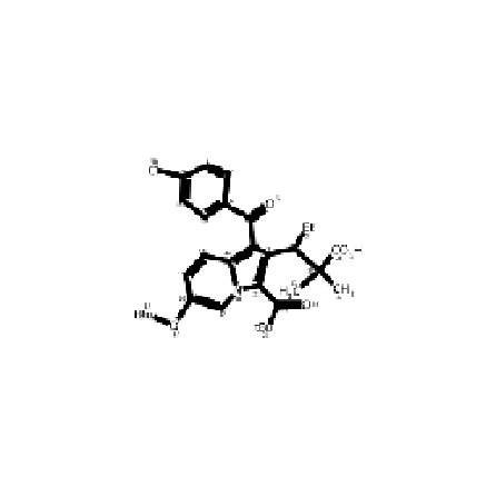 CCC(c1c(C(=O)c2ccc(Cl)cc2)c2ccc(OC(C)(C)C)cn2c1C(=O)C(C)(C)C)C(C)(C)C(=O)O